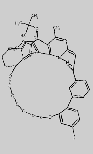 COC(=O)[C@@H](OC(C)(C)C)c1c(C)nc2cc3nn2c1-c1ccc2c(c1)C(CCO2)OCCCCCCOc1cc(F)ccc1-c1cccc-3c1